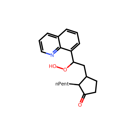 CCCCCC1C(=O)CCC1CC(OO)c1cccc2cccnc12